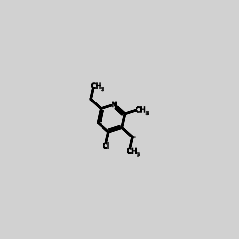 C[CH]c1c(Cl)cc(CC)nc1C